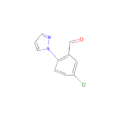 O=Cc1cc(Cl)ccc1-n1cccn1